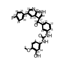 COc1ccc(NC(=O)Nc2cccc(C(=O)c3c[nH]c4ncc(-c5ccc(F)cc5)cc34)c2)cc1O